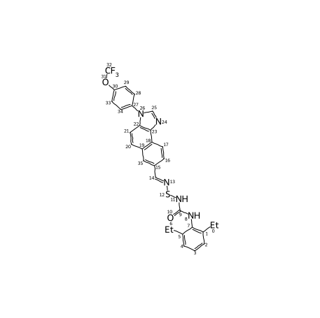 CCc1cccc(CC)c1NC(=O)NS/N=C/c1ccc2c(ccc3c2ncn3-c2ccc(OC(F)(F)F)cc2)c1